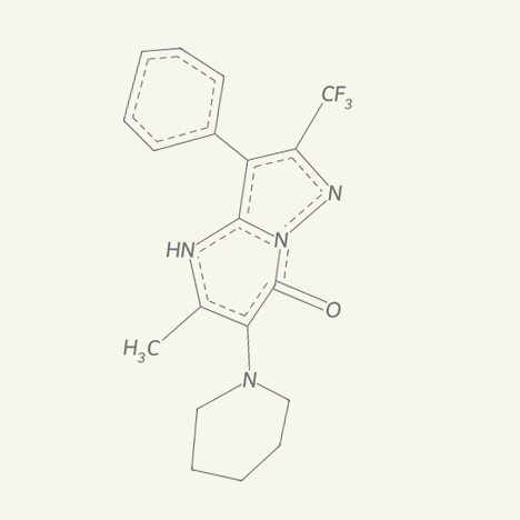 Cc1[nH]c2c(-c3ccccc3)c(C(F)(F)F)nn2c(=O)c1N1CCCCC1